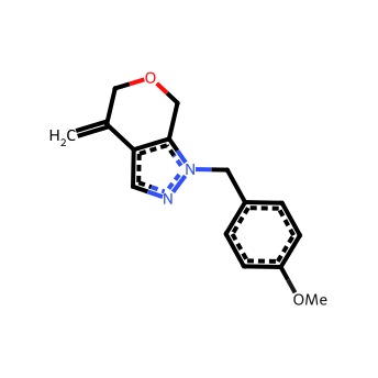 C=C1COCc2c1cnn2Cc1ccc(OC)cc1